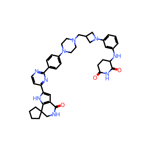 O=C1CCC(Nc2cccc(N3CC(CN4CCN(c5ccc(-c6nccc(-c7cc8c([nH]7)C7(CCCC7)CNC8=O)n6)cc5)CC4)C3)c2)C(=O)N1